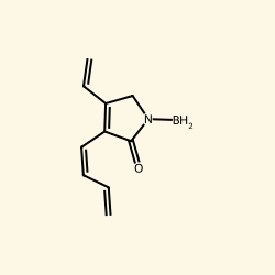 BN1CC(C=C)=C(/C=C\C=C)C1=O